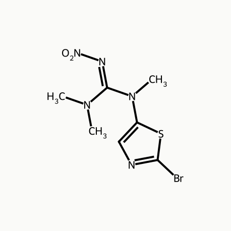 CN(C)C(=N[N+](=O)[O-])N(C)c1cnc(Br)s1